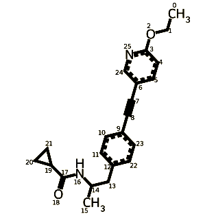 CCOc1ccc(C#Cc2ccc(CC(C)NC(=O)C3CC3)cc2)cn1